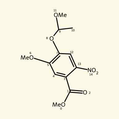 COC(=O)c1cc(OC)c(OC(C)OC)cc1[N+](=O)[O-]